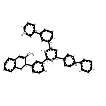 CC1=Cc2ccccc2CC1c1cccc(-c2nc(-c3ccc(-c4ccccc4)cc3)cc(-c3cccc(-c4cccnc4)c3)n2)c1